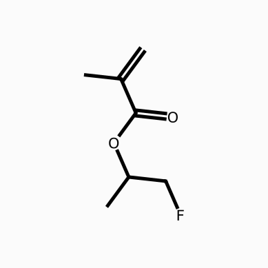 C=C(C)C(=O)OC(C)CF